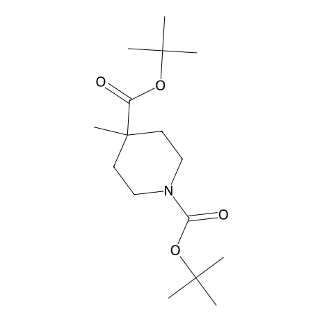 CC(C)(C)OC(=O)N1CCC(C)(C(=O)OC(C)(C)C)CC1